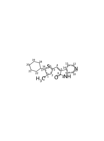 Cc1cc(C=C2C(=O)Nc3cnccc32)sc1C1CCCCC1